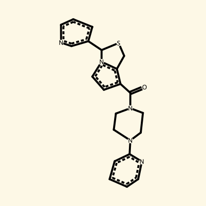 O=C(c1ccn2c1CSC2c1cccnc1)N1CCN(c2ccccn2)CC1